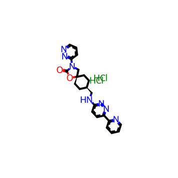 Cl.Cl.O=C1O[C@]2(CC[C@H](CNc3ccc(-c4ccccn4)nn3)CC2)CN1c1cccnn1